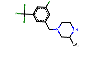 CC1CN(Cc2cc(F)cc(C(F)(F)F)c2)CCN1